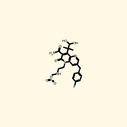 CC(C)(c1c(C(N)=O)c(=O)n(CCNC[SH](=O)=O)c2cc(Cc3ccc(F)cc3)cnc12)C(O)O